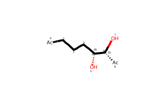 CC(=O)CCC[C@@H](O)[C@H](O)C(C)=O